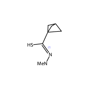 CN/N=C(\S)C12CC(C1)C2